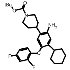 CC(C)(C)OC(=O)N1CCC(c2cc(Oc3ccc(F)cc3F)c(C3C[CH]CCC3)cc2N)CC1